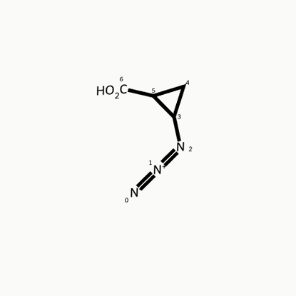 [N-]=[N+]=NC1CC1C(=O)O